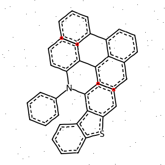 c1ccc(-c2cccc3cccc(-c4ccccc4N(c4ccccc4)c4cccc5sc6ccccc6c45)c23)cc1